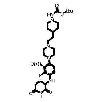 COc1c(N2CCN(CCC3CCN(NC(=O)OC(C)(C)C)CC3)CC2)ccc(NC2CCC(=O)NC2=O)c1F